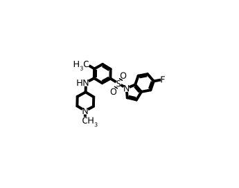 Cc1ccc(S(=O)(=O)n2ccc3cc(F)ccc32)cc1NC1CCN(C)CC1